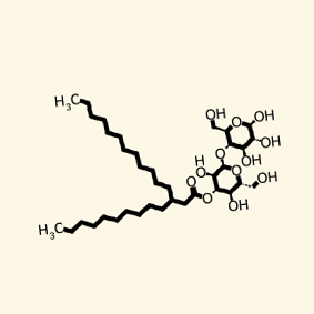 CCCCCCCCCCCCC(CCCCCCCCCC)CC(=O)O[C@@H]1[C@@H](O)[C@@H](O[C@H]2[C@H](O)[C@@H](O)[C@H](O)O[C@@H]2CO)O[C@H](CO)[C@H]1O